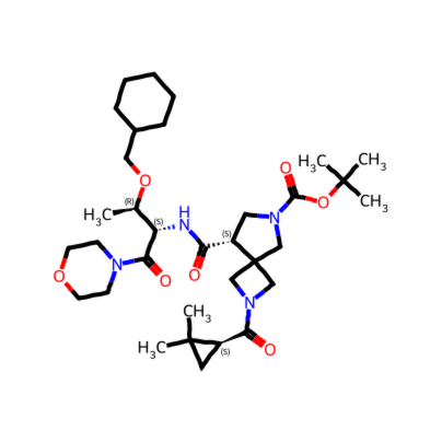 C[C@@H](OCC1CCCCC1)[C@H](NC(=O)[C@@H]1CN(C(=O)OC(C)(C)C)CC12CN(C(=O)[C@H]1CC1(C)C)C2)C(=O)N1CCOCC1